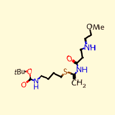 C=C(NC(=O)CCNCCOC)SCCCCNC(=O)OC(C)(C)C